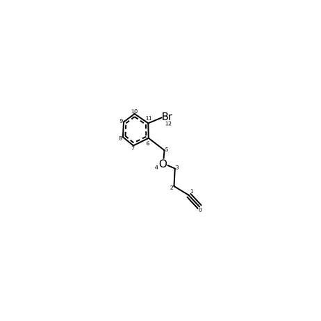 C#CCCOCc1ccccc1Br